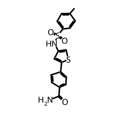 Cc1ccc(S(=O)(=O)Nc2csc(-c3ccc(C(N)=O)cc3)c2)cc1